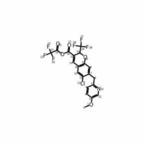 COc1ccc(Cc2cc3c(cc2Cl)C=C(C(=O)OC(=O)C(F)(F)F)C(C(F)(F)F)O3)nc1